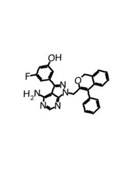 Nc1ncnc2c1c(-c1cc(O)cc(F)c1)nn2CC1=C(c2ccccc2)c2ccccc2CO1